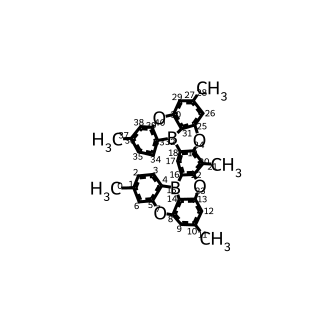 Cc1ccc2c(c1)Oc1cc(C)cc3c1B2c1cc2c(c(C)c1O3)Oc1cc(C)cc3c1B2c1ccc(C)cc1O3